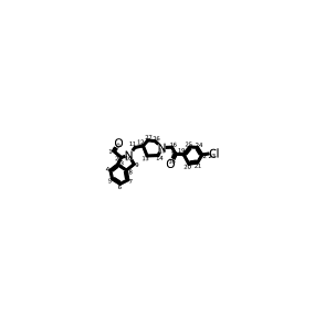 O=CC1c2ccccc2CN1CC1CCN(CC(=O)c2ccc(Cl)cc2)CC1